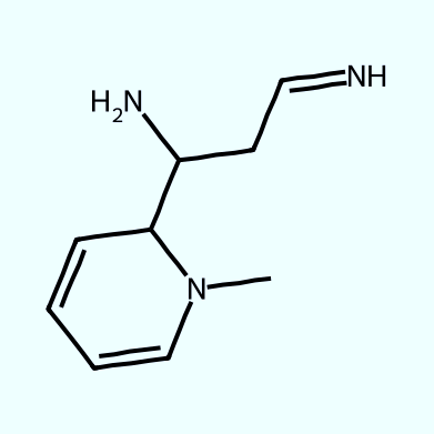 CN1C=CC=CC1C(N)CC=N